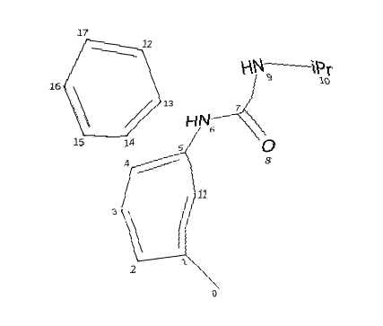 Cc1cccc(NC(=O)NC(C)C)c1.c1ccccc1